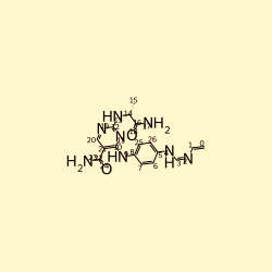 C=C/N=C\Nc1ccc(Nc2nc(N[C@H](C)C(N)=O)ncc2C(N)=O)cc1